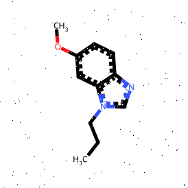 CCCn1[c]nc2ccc(OC)cc21